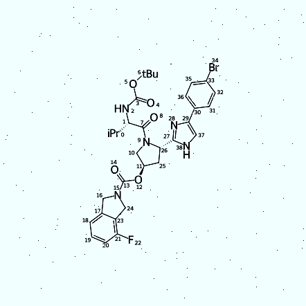 CC(C)[C@H](NC(=O)OC(C)(C)C)C(=O)N1C[C@H](OC(=O)N2Cc3cccc(F)c3C2)C[C@H]1c1nc(-c2ccc(Br)cc2)c[nH]1